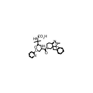 CN1N=C2CCN(C(=O)C(COc3ccccn3)NC(=O)C(C)(C)NC(=O)O)CC2(Cc2ccccc2)C1=O